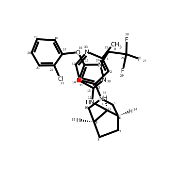 Cc1cc(N2C[C@H]3CC[C@@H](C2)[C@H]3Nc2nc(Oc3ccccc3Cl)n(CC(F)(F)F)n2)ncn1